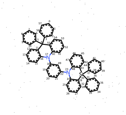 c1ccc(C2(c3ccccc3)c3ccccc3N(c3cccc(N4c5ccccc5[Si](c5ccccc5)(c5ccccc5)c5ccccc54)c3)c3ccccc32)cc1